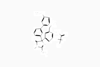 COc1cccc(-c2cccc(C3(c4cccc(CO)c4)N=C(N)N(C)C3=O)c2)c1.O=C(O)C(F)(F)F